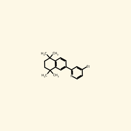 CCc1ccnc(-c2ccc3c(c2)C(C)(C)CCC3(C)C)c1